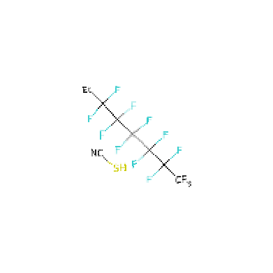 CCC(F)(F)C(F)(F)C(F)(F)C(F)(F)C(F)(F)C(F)(F)F.N#CS